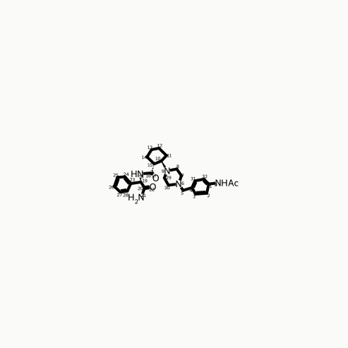 CC(=O)Nc1ccc(CN2CCN([C@@H]3CCCC[C@H]3C(=O)N[C@H](C(N)=O)c3ccccc3)CC2)cc1